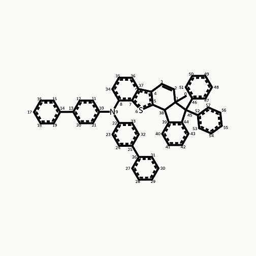 CC12C=Cc3c(sc4c(N(c5ccc(-c6ccccc6)cc5)c5ccc(-c6ccccc6)cc5)cccc34)C1c1ccccc1C2(c1ccccc1)c1ccccc1